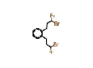 BrC(Br)CCc1ccccc1CCC(Br)Br